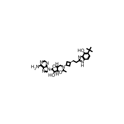 CC1O[C@H]2[C@@H](O)[C@H](n3cnc4c(N)ncnc43)O[C@@H]2CN1[C@H]1C[C@H](CCc2nc3c(O)c(C(C)(C)C)ccc3[nH]2)C1